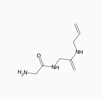 C=CCNC(=C)CNC(=O)CN